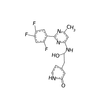 Cc1cc(NC(O)Cc2cc[nH]c(=O)c2)nc(-c2cc(F)c(F)cc2F)n1